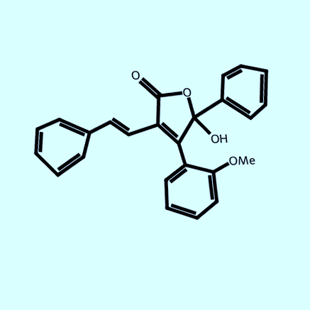 COc1ccccc1C1=C(C=Cc2ccccc2)C(=O)OC1(O)c1ccccc1